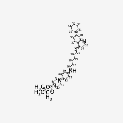 CC(C)(C)OC(=O)N1CCN(c2ccc(NCCCCCCSc3ccnc4cc(C5CCCCC5)ccc34)cc2)CC1